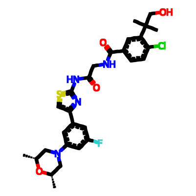 C[C@@H]1CN(c2cc(F)cc(-c3csc(NC(=O)CNC(=O)c4ccc(Cl)c(C(C)(C)CO)c4)n3)c2)C[C@H](C)O1